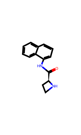 O=C(Nc1cccc2ccccc12)[C@@H]1CCN1